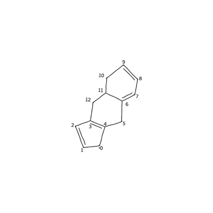 [CH]1C=CC2=C1CC1=CC=CCC1C2